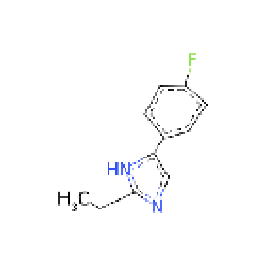 CCc1ncc(-c2ccc(F)cc2)[nH]1